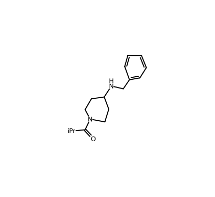 CC(C)C(=O)N1CCC(NCc2ccccc2)CC1